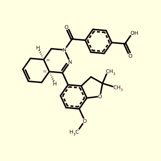 COc1ccc(C2=NN(C(=O)c3ccc(C(=O)O)cc3)C[C@@H]3CC=CC[C@H]23)c2c1OC(C)(C)C2